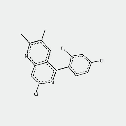 Cc1cc2c(-c3ccc(Cl)cc3F)nc(Cl)cc2nc1C